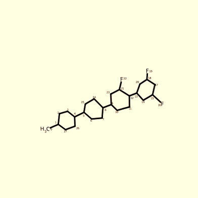 CC1CCC(C2CCC(C3CCC(C4CC(F)CC(F)C4)C(F)C3)CC2)CC1